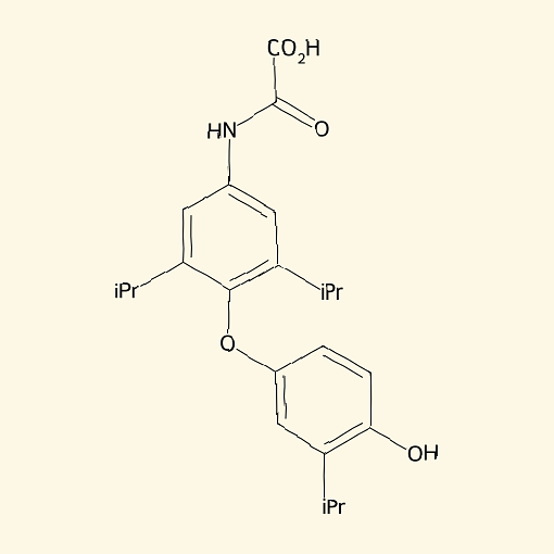 CC(C)c1cc(Oc2c(C(C)C)cc(NC(=O)C(=O)O)cc2C(C)C)ccc1O